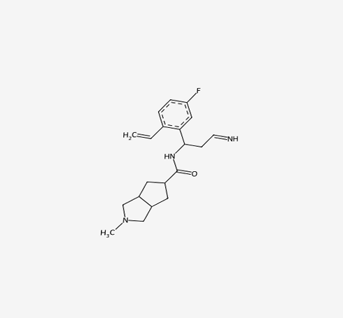 C=Cc1ccc(F)cc1C(CC=N)NC(=O)C1CC2CN(C)CC2C1